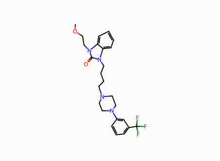 COCCn1c(=O)n(CCCCN2CCN(c3cccc(C(F)(F)F)c3)CC2)c2ccccc21